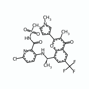 Cc1c(-c2ccn(C)c2)oc2c([C@@H](C)Nc3ccc(Cl)nc3C(=O)NS(C)(=O)=O)cc(C(F)(F)F)cc2c1=O